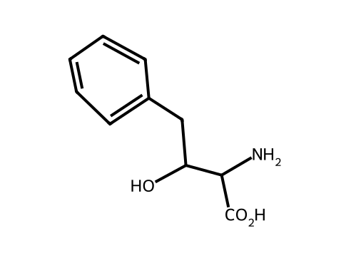 NC(C(=O)O)C(O)Cc1ccccc1